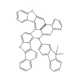 CC1(C)c2ccccc2-c2ccc(N(c3ccc4ccccc4c3)c3c(-c4cccc5oc6ccccc6c45)ccc4oc5c6ccccc6ccc5c34)cc21